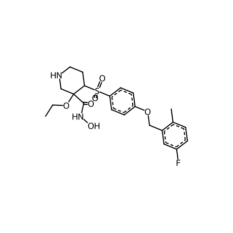 CCOC1(C(=O)NO)CNCCC1S(=O)(=O)c1ccc(OCc2cc(F)ccc2C)cc1